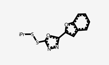 CC(C)SSc1nnc(-c2cc3ccccc3o2)o1